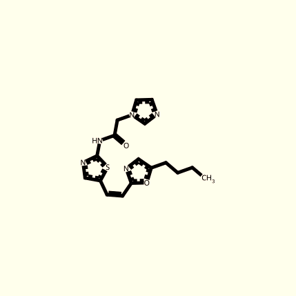 CCCCc1cnc(/C=C\c2cnc(NC(=O)Cn3ccnc3)s2)o1